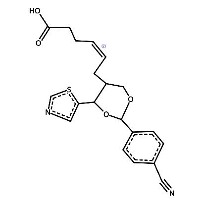 N#Cc1ccc(C2OCC(C/C=C\CCC(=O)O)C(c3cncs3)O2)cc1